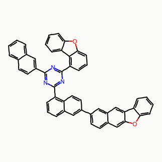 c1ccc2cc(-c3nc(-c4cccc5cc(-c6ccc7cc8oc9ccccc9c8cc7c6)ccc45)nc(-c4cccc5oc6ccccc6c45)n3)ccc2c1